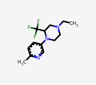 CCN1CCN(c2ccc(C)nc2)C(C(F)(F)F)C1